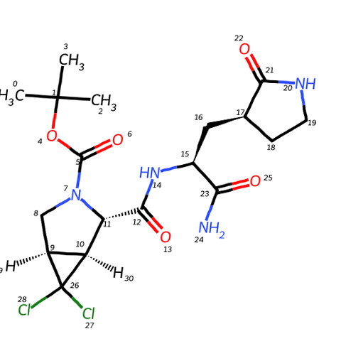 CC(C)(C)OC(=O)N1C[C@H]2[C@@H]([C@H]1C(=O)N[C@@H](C[C@@H]1CCNC1=O)C(N)=O)C2(Cl)Cl